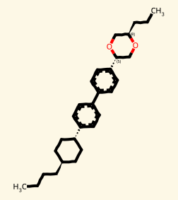 CCCC[C@H]1CC[C@H](c2ccc(-c3ccc([C@H]4CO[C@H](CCC)CO4)cc3)cc2)CC1